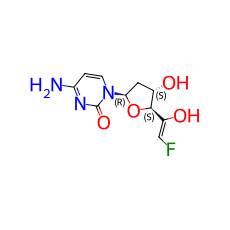 Nc1ccn([C@H]2C[C@H](O)[C@@H](C(O)=CF)O2)c(=O)n1